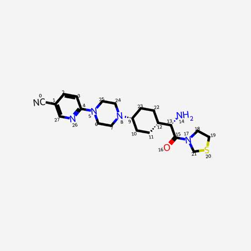 N#Cc1ccc(N2CCN([C@H]3CC[C@@H]([C@H](N)C(=O)N4CCSC4)CC3)CC2)nc1